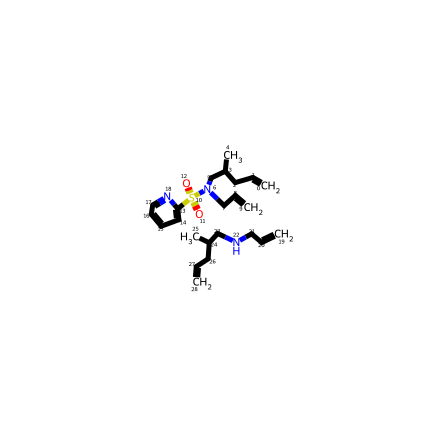 C=CCC(C)CN(CC=C)S(=O)(=O)c1ccccn1.C=CCNCC(C)CC=C